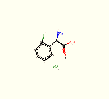 Cl.N[C@@H](C(=O)O)c1ccccc1F